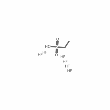 CCS(=O)(=O)O.F.F.F.F.F.F